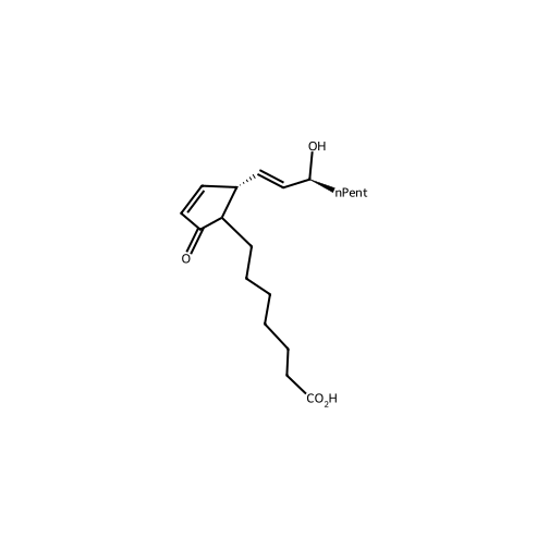 CCCCC[C@H](O)/C=C/[C@H]1C=CC(=O)C1CCCCCCC(=O)O